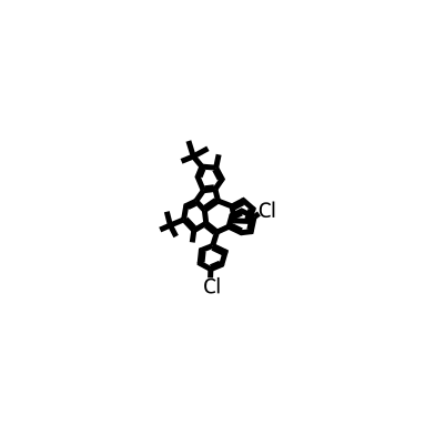 Cc1cc2c(cc1C(C)(C)C)-c1cc(C(C)(C)C)c(C)c(=C(c3ccc(Cl)cc3)c3ccc(Cl)cc3)c1=C2C1=CC=CC1